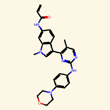 C=CC(=O)Nc1ccc2c(-c3nc(Nc4ccc(N5CCOCC5)cc4)ncc3C)cn(C)c2c1